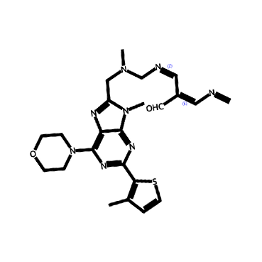 C=N/C=C(C=O)\C=N/CN(C)Cc1nc2c(N3CCOCC3)nc(-c3sccc3C)nc2n1C